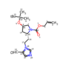 C=CCOC(=O)N1C[C@H](O[Si](C)(C)C(C)(C)C)C[C@H]1CCn1cncc1C=O